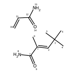 C/C(=C\C(C)(C)C)C(N)=O.C=CC(N)=O